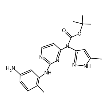 Cc1cc(N(C(=O)OC(C)(C)C)c2ccnc(Nc3cc(N)ccc3C)n2)n[nH]1